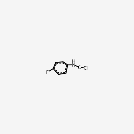 Fc1ccc(NCCl)cc1